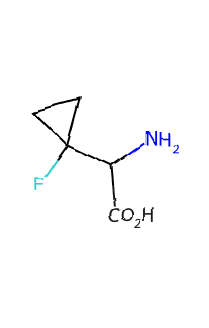 NC(C(=O)O)C1(F)CC1